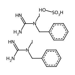 N=C(N)N(I)Cc1ccccc1.N=C(N)N(I)Cc1ccccc1.O=S(=O)(O)O